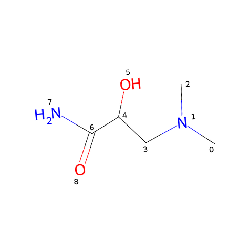 CN(C)CC(O)C(N)=O